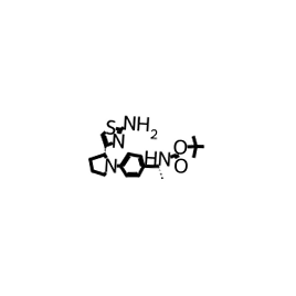 C[C@@H](NC(=O)OC(C)(C)C)c1ccc(N2CCC[C@@H]2c2csc(N)n2)cc1